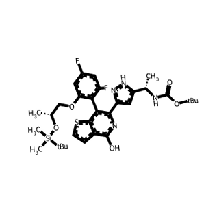 C[C@H](COc1cc(F)cc(F)c1-c1c(-c2cc([C@H](C)NC(=O)OC(C)(C)C)[nH]n2)nc(O)c2ccsc12)O[Si](C)(C)C(C)(C)C